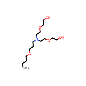 COCCCOCCCN(CCOCCO)CCOCCO